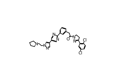 O=C(Cc1cccc(-c2ncc(-c3cnn(CCN4CCCC4)c3)cn2)c1)N1CCC(c2cc(Cl)ccc2Cl)=N1